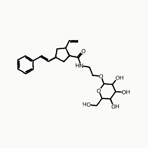 C=CC1CC(C=Cc2ccccc2)CC1C(=O)NCCOC1OC(CO)C(O)C(O)C1O